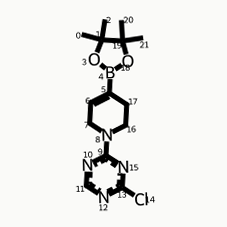 CC1(C)OB(C2=CCN(c3ncnc(Cl)n3)CC2)OC1(C)C